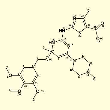 COc1cc(CNC2(C)C=C(N3CCN(C)CC3)N=C(Nc3nc(C)c(C(=O)O)s3)N2)cc(OC)c1OC